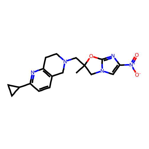 CC1(CN2CCc3nc(C4CC4)ccc3C2)Cn2cc([N+](=O)[O-])nc2O1